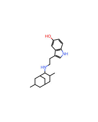 CC1CC2CC(C)C(NCCc3c[nH]c4ccc(O)cc34)C(C1)C2